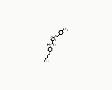 O=C(Nc1ccc(CCCCO)cc1)c1coc(C=Cc2ccc(C(F)(F)F)cc2)n1